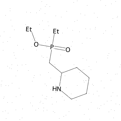 CCOP(=O)(CC)CC1CCCCN1